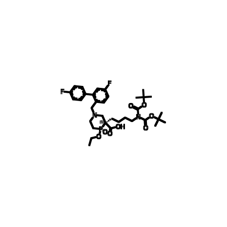 CCOP1(=O)CCN(Cc2ccc(F)cc2-c2ccc(F)cc2)C[C@@]1(CCCCN(C(=O)OC(C)(C)C)C(=O)OC(C)(C)C)C(=O)O